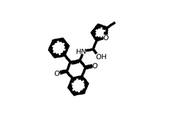 Cc1ccc(C(O)NC2=C(c3ccccc3)C(=O)c3ccccc3C2=O)o1